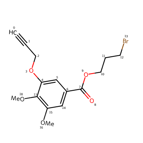 C#CCOc1cc(C(=O)OCCCBr)cc(OC)c1OC